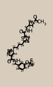 CC(=O)N1CC(CNC(=O)c2nnc(CCCCn3cc(C(=O)NCc4cccc(OC(F)(F)F)c4)nn3)s2)C1